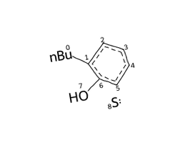 CCCCc1ccccc1O.[S]